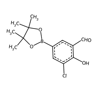 CC1(C)OB(c2cc(Cl)c(O)c(C=O)c2)OC1(C)C